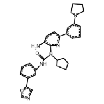 Nc1ccc(-c2cccc(N3CCCC3)c2)nc1N(C(=O)Nc1cccc(-c2cnco2)c1)C1CCCC1